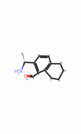 C[C@@H](N)c1ccc2c(c1C=O)CCCC2